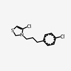 ClC1=CSCN1CCCc1ccc(Cl)cc1